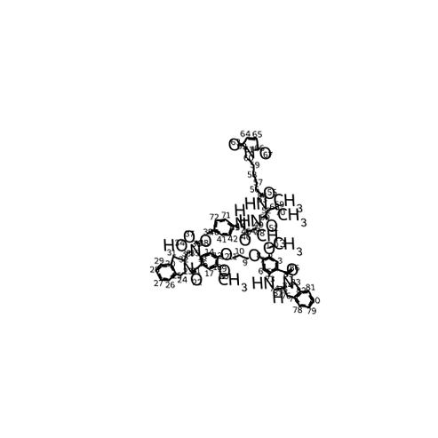 COc1cc2c(cc1OCCCOc1cc3c(cc1OC)C(=O)N1Cc4ccccc4CC1C(O)N3C(=O)OCc1ccc(NC(=O)[C@H](C)NC(=O)[C@@H](NC(=O)CCCCCN3C(=O)C=CC3=O)C(C)C)cc1)NC[C@@H]1Cc3ccccc3CN1C2=O